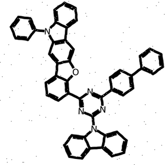 c1ccc(-c2ccc(-c3nc(-c4cccc5c4oc4cc6c7ccccc7n(-c7ccccc7)c6cc45)nc(-n4c5ccccc5c5ccccc54)n3)cc2)cc1